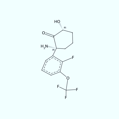 N[C@@]1(c2cccc(OC(F)(F)F)c2F)CCC[C@@H](O)C1=O